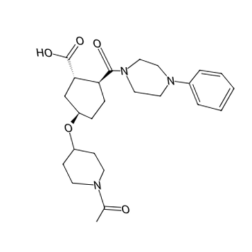 CC(=O)N1CCC(O[C@@H]2CC[C@H](C(=O)N3CCN(c4ccccc4)CC3)[C@@H](C(=O)O)C2)CC1